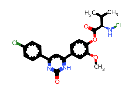 COc1cc(-c2cc(-c3ccc(Cl)cc3)nc(=O)[nH]2)ccc1OC(=O)[C@H](NCl)C(C)C